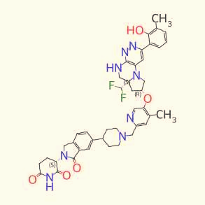 Cc1cc(CN2CCC(c3ccc4c(c3)C(=O)N([C@H]3CCC(=O)NC3=O)C4)CC2)ncc1O[C@H]1CN2c3cc(-c4cccc(C)c4O)nnc3NC[C@]2(C(F)F)C1